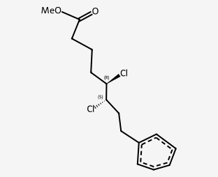 COC(=O)CCC[C@@H](Cl)[C@@H](Cl)CCc1ccccc1